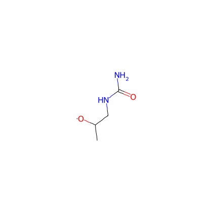 CC([O])CNC(N)=O